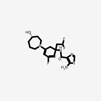 Nc1scnc1C(=O)NC1(CC(F)F)CC(N2CCC[C@H](O)CC2)=CC(F)=C1F